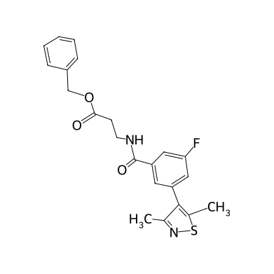 Cc1nsc(C)c1-c1cc(F)cc(C(=O)NCCC(=O)OCc2ccccc2)c1